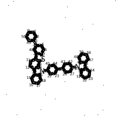 c1ccc(-c2ccc3sc4c(ccc5c6ccccc6n(-c6ccc(-c7ccc(-n8c9ccccc9c9ccccc98)cc7)cc6)c54)c3c2)cc1